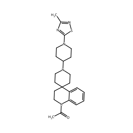 CC(=O)N1CCC2(CCN(C3CCN(c4nc(C)ns4)CC3)CC2)c2ccccc21